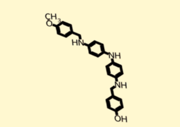 COc1ccc(CNc2ccc(Nc3ccc(NCc4ccc(O)cc4)cc3)cc2)cc1